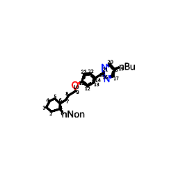 CCCCCCCCCC1CCCCC1CCCOc1ccc(-c2ncc(CCCC)cn2)cc1